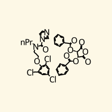 CCCN(CCOc1c(Cl)cc(Cl)cc1Cl)C(=O)n1ccnc1.O=C(O[C@H]1C(=O)OC(=O)[C@@H]1OC(=O)c1ccccc1)c1ccccc1